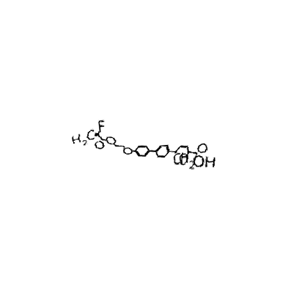 C=C(F)C(=O)OCCOc1ccc(-c2ccc(C(=C)/C=C\C(=O)C(=O)O)cc2)cc1